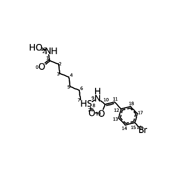 O=C(CCCCCC[SH]1N/C(=C/c2ccc(Br)cc2)OO1)NO